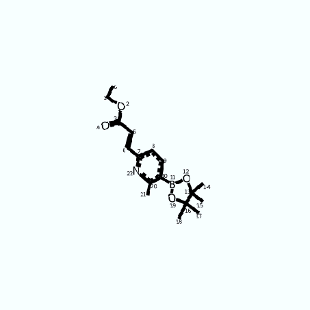 CCOC(=O)/C=C/c1ccc(B2OC(C)(C)C(C)(C)O2)c(C)n1